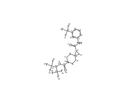 O=C(Nc1cccc(C(F)(F)F)n1)C1CC12CCN(C(=O)OC(C(F)(F)F)C(F)(F)F)CC2